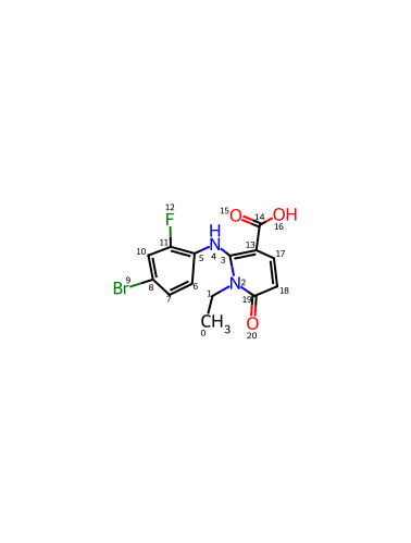 CCn1c(Nc2ccc(Br)cc2F)c(C(=O)O)ccc1=O